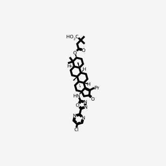 CC(C)C1=C2[C@H]3CC[C@@H]4[C@@]5(C)CC[C@H](OC(=O)CC(C)(C)C(=O)O)C(C)(C)[C@@H]5CC[C@@]4(C)[C@]3(C)CC[C@@]2(Nc2nnc(-c3ncc(Cl)cn3)o2)CC1=O